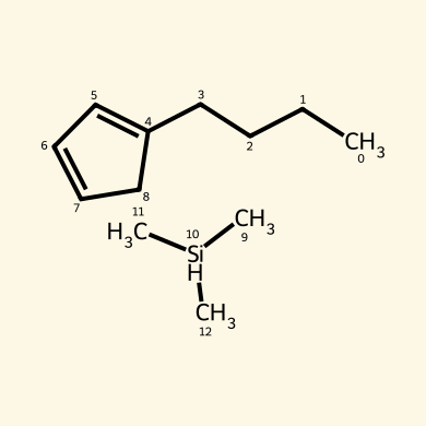 CCCCC1=CC=CC1.C[SiH](C)C